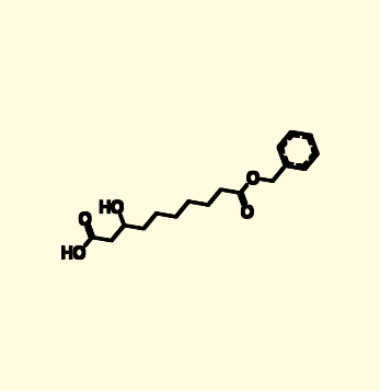 O=C(O)CC(O)CCCCCCC(=O)OCc1ccccc1